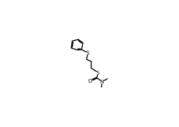 CN(C)C(=O)SCCCSc1ccccc1